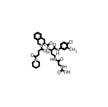 Cc1cc(NC(=O)C(CCNC(=O)CNC(=O)O)NC(=O)[C@@H]2Cc3ccccc3CN2C(=O)CCC(=O)N2CCCCC2)ccc1Cl